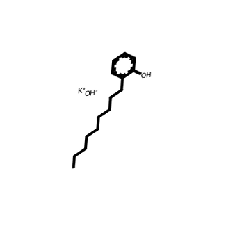 CCCCCCCCCc1ccccc1O.[K+].[OH-]